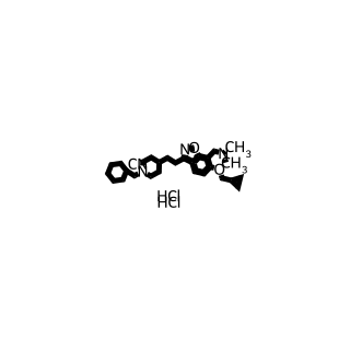 CN(C)Cc1c(OCC2CC2)ccc2c(CCC3CCN(CC4(C#N)CCCCC4)CC3)noc12.Cl.Cl